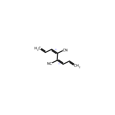 C=C/C=C(C#N)\C(C#N)=C/C=C